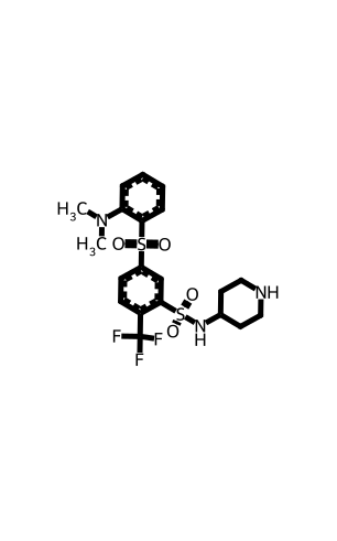 CN(C)c1ccccc1S(=O)(=O)c1ccc(C(F)(F)F)c(S(=O)(=O)NC2CCNCC2)c1